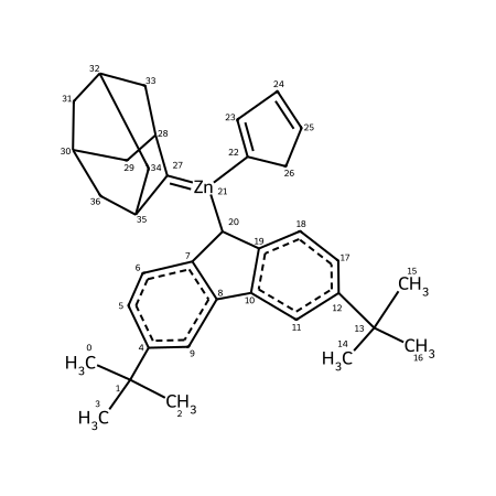 CC(C)(C)c1ccc2c(c1)-c1cc(C(C)(C)C)ccc1[CH]2[Zn]([C]1=CC=CC1)=[C]1C2CC3CC(C2)CC1C3